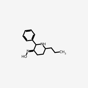 CCCC1CC/C(=N\O)C(c2ccccc2)N1